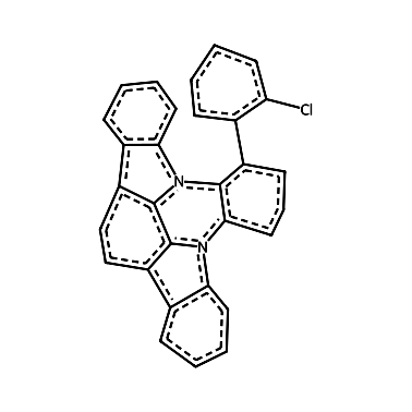 Clc1ccccc1-c1cccc2c1n1c3ccccc3c3ccc4c5ccccc5n2c4c31